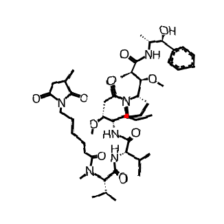 CC[C@H](C)[C@H](NC(=O)[C@@H](NC(=O)[C@H](C(C)C)N(C)C(=O)CCCCCN1C(=O)CC(C)C1=O)C(C)C)[C@@H](CC(=O)N1CCC[C@H]1[C@H](OC)[C@@H](C)C(=O)N[C@H](C)[C@@H](O)c1ccccc1)OC